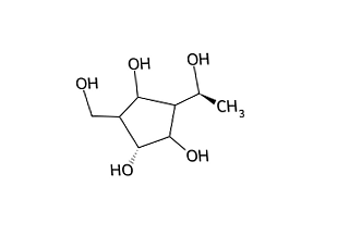 C[C@H](O)C1C(O)C(CO)[C@@H](O)C1O